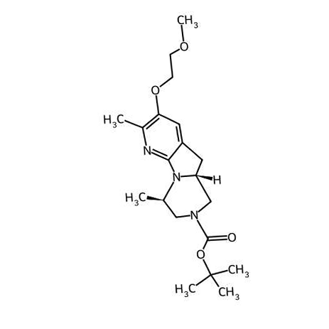 COCCOc1cc2c(nc1C)N1[C@H](C2)CN(C(=O)OC(C)(C)C)C[C@H]1C